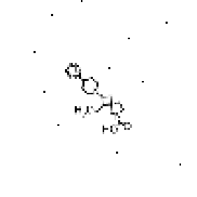 CCC1C(N2CCC(n3cccn3)CC2)CC12CCN(C(=O)O)C2